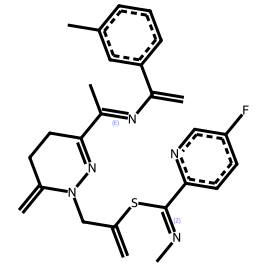 C=C(CN1N=C(/C(C)=N/C(=C)c2cccc(C)c2)CCC1=C)S/C(=N\C)c1ccc(F)cn1